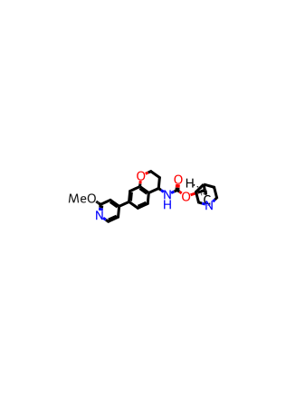 COc1cc(-c2ccc3c(c2)OCCC3NC(=O)O[C@@H]2CN3CCC2CC3)ccn1